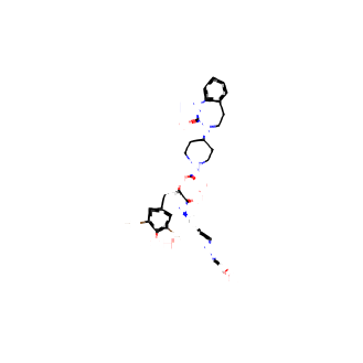 O=C=C=NC=C=C=NC(=O)[C@@H](Cc1cc(Br)c(O)c(Br)c1)OC(=O)N1CCC(N2CCc3ccccc3NC2=O)CC1